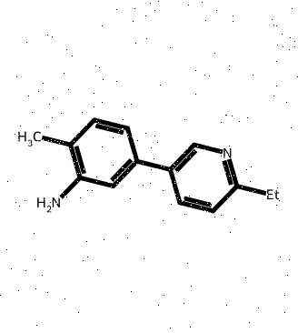 CCc1ccc(-c2ccc(C)c(N)c2)cn1